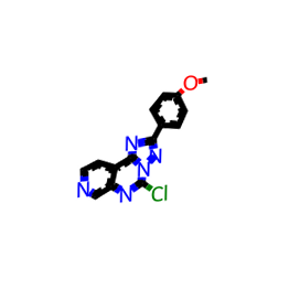 COc1ccc(-c2nc3c4ccncc4nc(Cl)n3n2)cc1